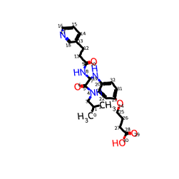 CC(C)CNC(=O)C(NC(=O)CCc1cccnc1)Nc1ccc(OCCCC(=O)O)cc1